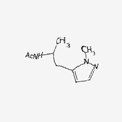 CC(=O)NC(C)Cc1ccnn1C